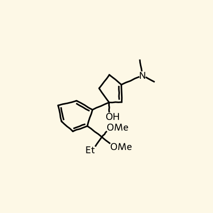 CCC(OC)(OC)c1ccccc1C1(O)C=C(N(C)C)CC1